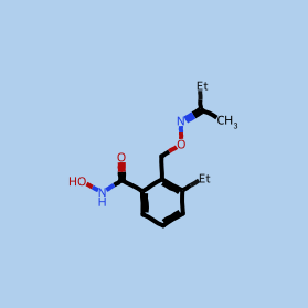 CCC(C)=NOCc1c(CC)cccc1C(=O)NO